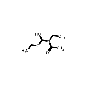 CCOC(O)N(CC)C(C)=O